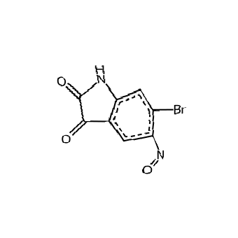 O=Nc1cc2c(cc1Br)NC(=O)C2=O